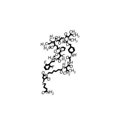 CC[C@H](C)C([C@@H](CC(=O)N1CCC[C@H]1[C@H](OC)[C@@H](C)C(=O)NCCc1c(F)cccc1F)OC)N(C)C(=O)CNC(=O)C(C(C)C)N(C)C(=O)OCc1ccc(NC(=O)CNC(=O)C(NC(=O)CCCCCN2C(=O)CC(SCCCC(N)=O)C2=O)C(C)C)cc1